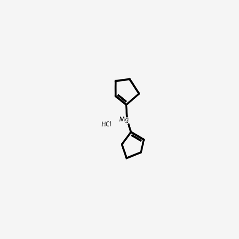 C1=[C]([Mg][C]2=CCCC2)CCC1.Cl